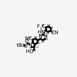 CC(C)(C)OC(=O)N1C[C@](C)(CO)c2cc(-c3ccnc(Nc4cc(C#N)ccc4C(F)(F)F)n3)cc(C#N)c21